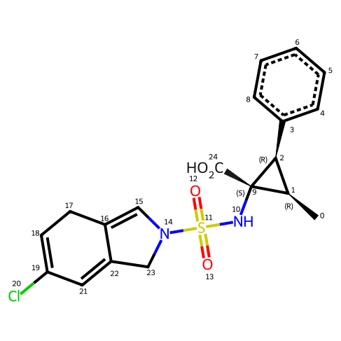 C[C@@H]1[C@H](c2ccccc2)[C@]1(NS(=O)(=O)N1C=C2CC=C(Cl)C=C2C1)C(=O)O